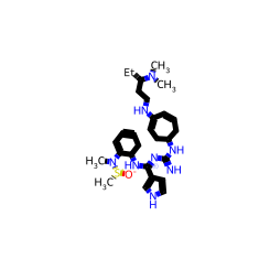 CCC(CCNC1=CCC(NC(=N)/N=C(/NC2CC#CC=C2N(C)[S+](C)[O-])c2cc[nH]c2)CC=C1)N(C)C